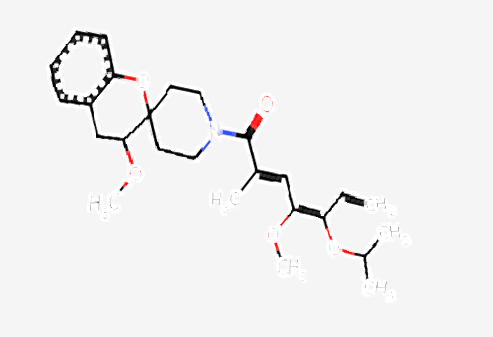 C=C/C(OC(C)C)=C(\C=C(/C)C(=O)N1CCC2(CC1)Oc1ccccc1CC2OC)OC